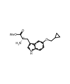 COC(=O)[C@@H](N)Cc1c[nH]c2ccc(OCC3CC3)cc12